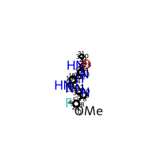 COc1cc(F)cc(-c2ccnc3[nH]c(-c4n[nH]c5ccc(-c6cncc(NC(=O)C7CCC7)c6)cc45)cc23)c1